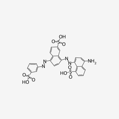 Nc1ccc(/N=N/c2ccc(/N=N/c3cccc(S(=O)(=O)O)c3)c3ccc(S(=O)(=O)O)cc23)c2c(S(=O)(=O)O)cccc12